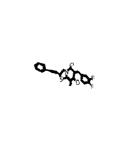 CC1=C2SC(C#Cc3ccccc3)=CN2C(=O)C(Cc2ccc(F)c(F)c2)C1=O